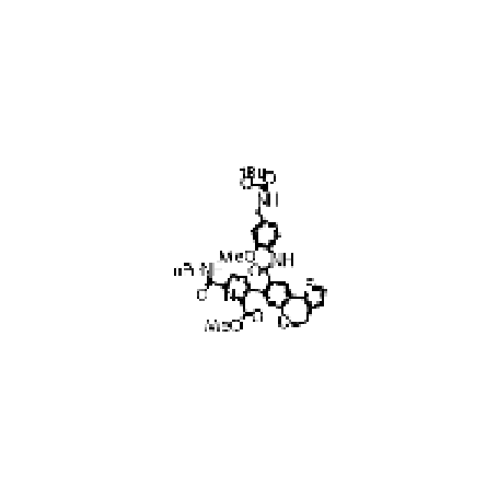 CCCNC(=O)c1ccc(-c2cc3c(cc2C(=O)Nc2ccc(CNC(=O)OC(C)(C)C)cc2OC)-c2sccc2CCO3)c(C(=O)OC)n1